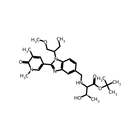 CCC(COC)n1c(-c2cc(C)c(=O)n(C)c2)nc2cc(CNC(C(=O)OC(C)(C)C)[C@@H](C)O)ccc21